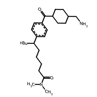 CCCCC(CCCCC(=O)N(C)C)c1ccc(C(=O)C2CCC(CN)CC2)cc1